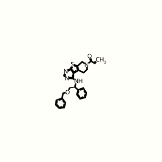 C=CC(=O)N1CCc2c(sc3ncnc(N[C@H](COCc4ccccc4)c4ccccc4)c23)C1